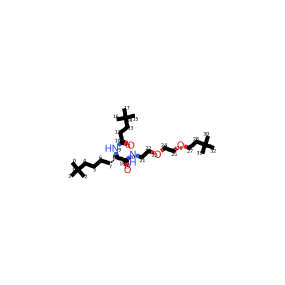 CC(C)(C)CCCC[C@H](NC(=O)CCC(C)(C)C)C(=O)NCCOCCOCCC(C)(C)C